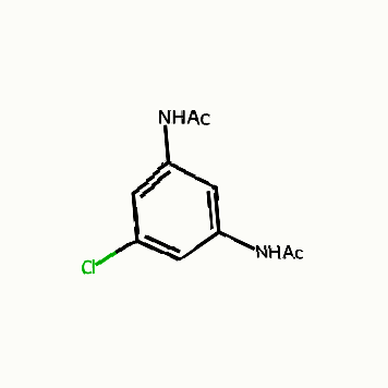 CC(=O)Nc1cc(Cl)cc(NC(C)=O)c1